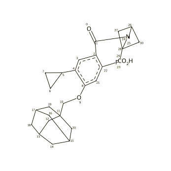 O=C(c1cc(C2CC2)c(OCC23CC4CC(CC(C4)C2)C3)cc1F)N1CC2CC1(C(=O)O)C2